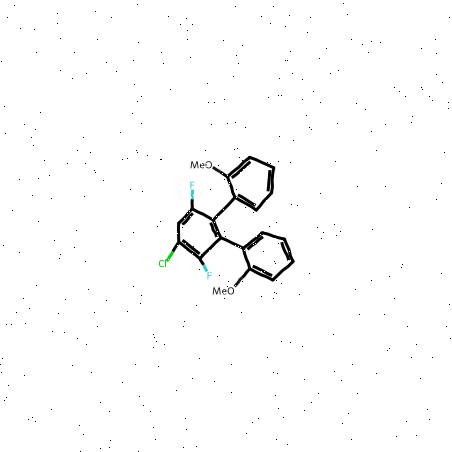 COc1ccccc1-c1c(F)cc(Cl)c(F)c1-c1ccccc1OC